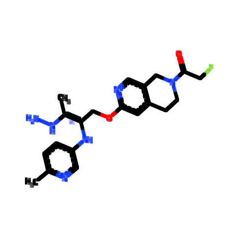 C/C(NN)=C(\COc1cc2c(cn1)CN(C(=O)CF)CC2)Nc1ccc(C)nc1